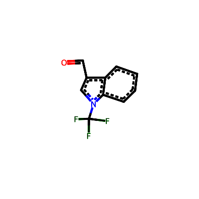 O=Cc1cn(C(F)(F)F)c2ccccc12